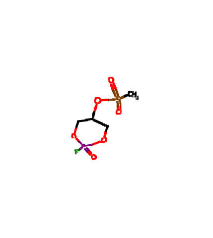 CS(=O)(=O)OC1COP(=O)(F)OC1